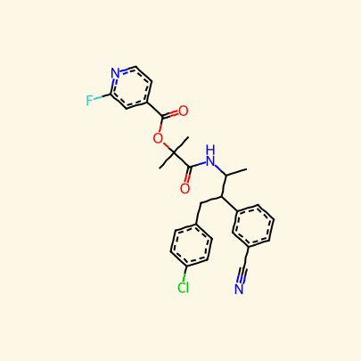 CC(NC(=O)C(C)(C)OC(=O)c1ccnc(F)c1)C(Cc1ccc(Cl)cc1)c1cccc(C#N)c1